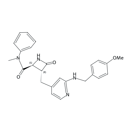 COc1ccc(CNc2cc(C[C@H]3C(=O)N[C@@H]3C(=O)N(C)c3ccccc3)ccn2)cc1